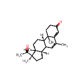 CC(=O)[C@@]1(C)CC[C@H]2C3C=C(C)C4=CC(=O)CCC4(C)[C@H]3CCC21C